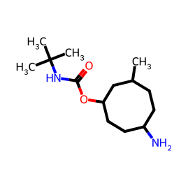 CC1CCC(N)CCC(OC(=O)NC(C)(C)C)C1